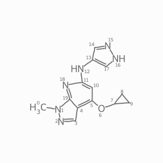 Cn1ncc2c(OC3CC3)cc(Nc3cn[nH]c3)nc21